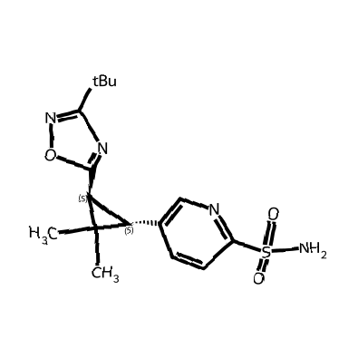 CC(C)(C)c1noc([C@H]2[C@H](c3ccc(S(N)(=O)=O)nc3)C2(C)C)n1